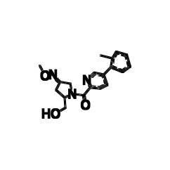 CO/N=C1\CC(CO)N(C(=O)c2ccc(-c3ccccc3C)cn2)C1